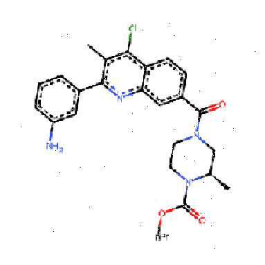 CCCOC(=O)N1CCN(C(=O)c2ccc3c(Cl)c(C)c(-c4cccc(N)c4)nc3c2)C[C@H]1C